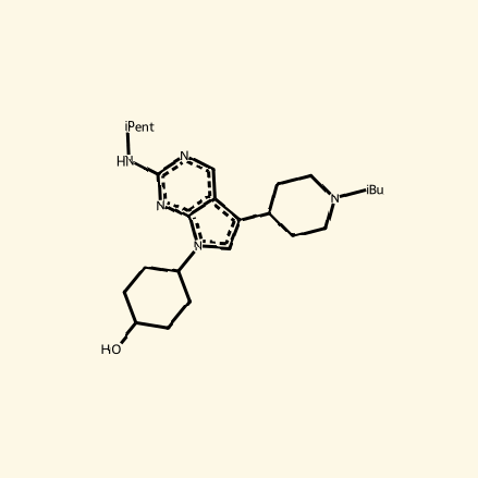 CCCC(C)Nc1ncc2c(C3CCN(C(C)CC)CC3)cn(C3CCC(O)CC3)c2n1